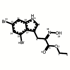 CCOC(=O)C(Cc1c[nH]c2cc(Br)cc(Br)c12)=NO